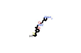 CC(=O)c1ccc(-c2ccc3oc(CNC(=O)C=Cc4ccc(N)nc4)cc3c2)s1